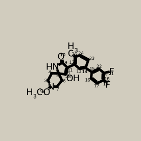 CON1CCC2(CC1)NC(=O)C(c1cc(-c3ccc(F)c(F)c3)ccc1C)=C2O